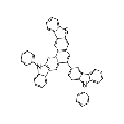 c1ccc(-n2c3ccccc3c3cc(-c4cc5cc6sc7ccccc7c6cc5c5cc6c(cc45)c4ccccc4n6-c4ccccc4)ccc32)cc1